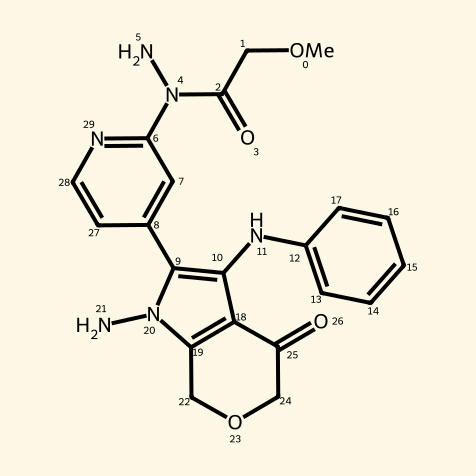 COCC(=O)N(N)c1cc(-c2c(Nc3ccccc3)c3c(n2N)COCC3=O)ccn1